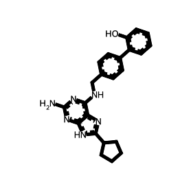 Nc1nc(NCc2ccc(-c3ccccc3O)cc2)c2nc(C3CCCC3)[nH]c2n1